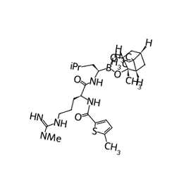 CNC(=N)NCCC[C@H](NC(=O)c1ccc(C)s1)C(=O)N[C@@H](CC(C)C)B1O[C@@H]2C[C@@H]3C[C@@H](C3(C)C)[C@]2(C)O1